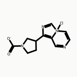 O=C([O-])N1CCC(C2=C3C=NC=C[N+]3(Cl)C=N2)C1